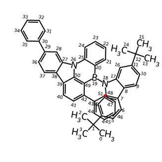 CC(C)(C)c1ccc2c3ccc(C(C)(C)C)cc3n(B3c4ccccc4-n4c5cc(-c6ccccc6)ccc5c5ccc(-c6ccccc6)c3c54)c2c1